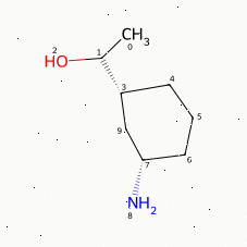 CC(O)[C@@H]1CCC[C@H](N)C1